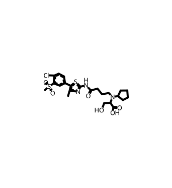 Cc1nc(NC(=O)CCCN(C2CCCC2)C(CO)C(=O)O)sc1-c1ccc(Cl)c(S(C)(=O)=O)c1